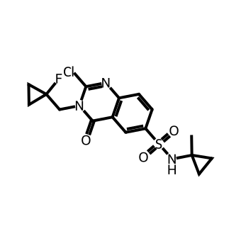 CC1(NS(=O)(=O)c2ccc3nc(Cl)n(CC4(F)CC4)c(=O)c3c2)CC1